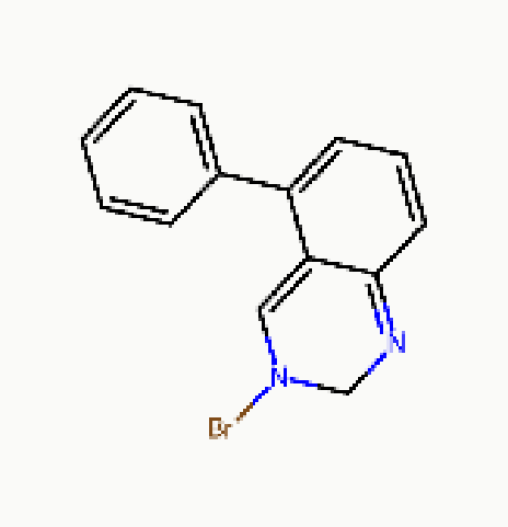 BrN1C=c2c(-c3ccccc3)cccc2=NC1